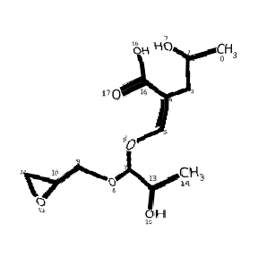 CC(O)CC(=COC(OCC1CO1)C(C)O)C(=O)O